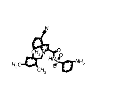 Cc1cc(C)c(Cn2c(C(=O)NS(=O)(=O)c3cccc(N)c3)cc3c(C#N)cccc32)c(C)c1